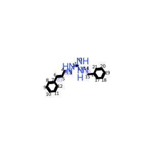 N=C(N/N=C/C=C/c1ccccc1)N/N=C/c1ccccc1